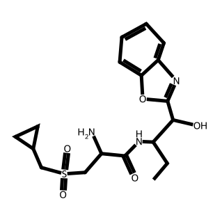 CCC(NC(=O)C(N)CS(=O)(=O)CC1CC1)C(O)c1nc2ccccc2o1